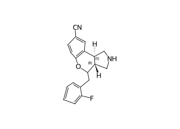 N#Cc1ccc2c(c1)[C@H]1CNC[C@@H]1C(Cc1ccccc1F)O2